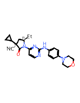 CC[C@@H]1C[C@](C#N)(C2CC2)C(=O)N1c1ccnc(Nc2ccc(N3CCOCC3)cc2)n1